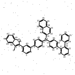 Cc1c(-c2cccc(-c3ccc(N(c4ccc(-c5ccccc5-c5ccccc5)cc4)c4ccc5ccccc5c4)cc3)c2)oc2ccccc12